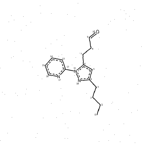 CCCCc1cc(CCC=O)n(-c2ccccn2)n1